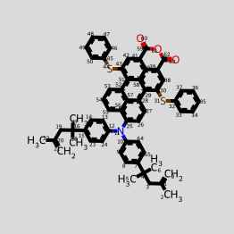 C=C(C)CC(C)(C)c1ccc(N(c2ccc(C(C)(C)CC(=C)C)cc2)c2ccc3c4c(Sc5ccccc5)cc5c6c(cc(Sc7ccccc7)c(c7cccc2c73)c64)C(=O)OC5=O)cc1